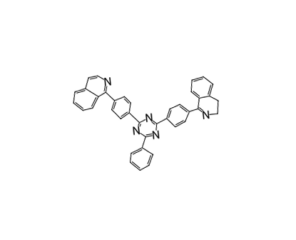 c1ccc(-c2nc(-c3ccc(C4=NCCc5ccccc54)cc3)nc(-c3ccc(-c4nccc5ccccc45)cc3)n2)cc1